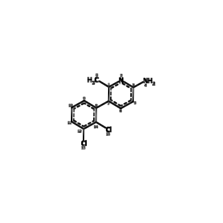 Cc1nc(N)ccc1-c1cccc(Cl)c1Cl